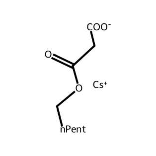 CCCCCCOC(=O)CC(=O)[O-].[Cs+]